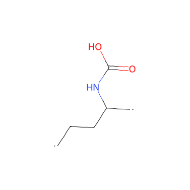 [CH2]CCC([CH2])NC(=O)O